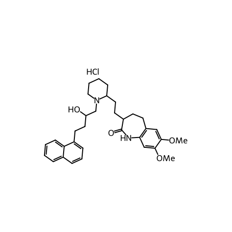 COc1cc2c(cc1OC)NC(=O)C(CCC1CCCCN1CC(O)CCc1cccc3ccccc13)CC2.Cl